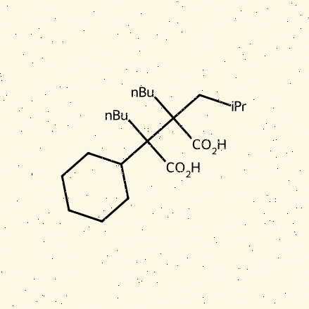 CCCCC(CC(C)C)(C(=O)O)C(CCCC)(C(=O)O)C1CCCCC1